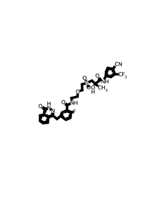 CC(O)(CS(=O)(=O)CCOCCNC(=O)c1cc(Cc2n[nH]c(=O)c3ccccc23)ccc1F)C(=O)Nc1ccc(C#N)c(C(F)(F)F)c1